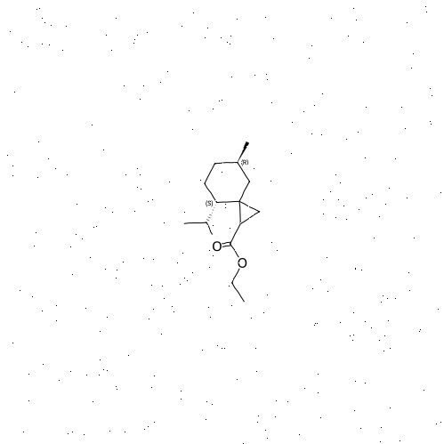 CCOC(=O)C1CC12C[C@H](C)CC[C@H]2C(C)C